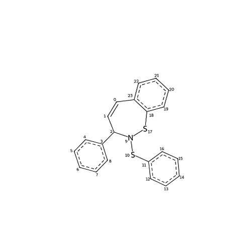 C1=CC(c2ccccc2)N(Sc2ccccc2)Sc2ccccc21